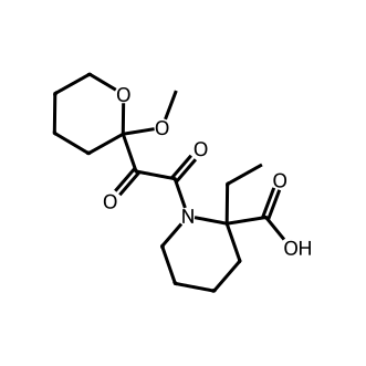 CCC1(C(=O)O)CCCCN1C(=O)C(=O)C1(OC)CCCCO1